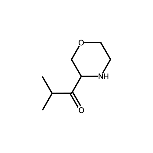 CC(C)C(=O)C1COCCN1